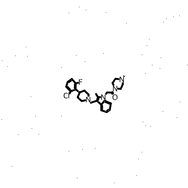 Cc1c(CN2CCC(c3c(F)cccc3Cl)CC2)c2ccccc2n1CC(=O)N1CCN(C)CC1